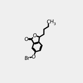 CCCCC1OC(=O)c2cc(OBr)ccc21